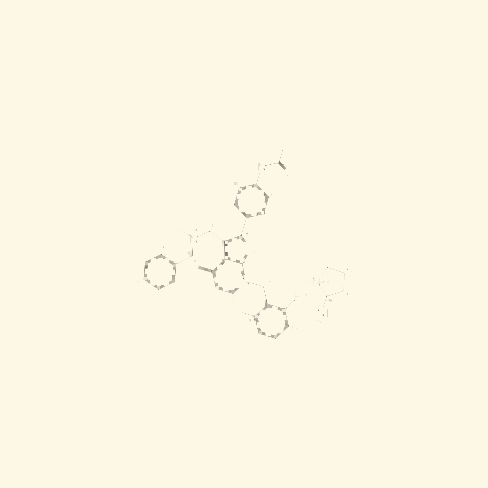 CCC(=O)Nc1ccc(-c2sc3c(c2CN(C)Cc2ccccc2)c(=O)ccn3Cc2c(F)cccc2F)cc1.NC1CCCN1